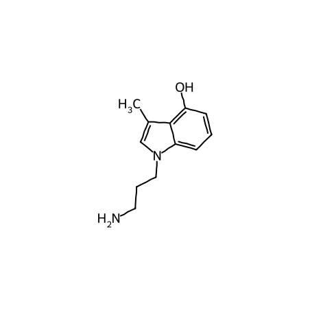 Cc1cn(CCCN)c2cccc(O)c12